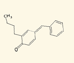 CCCCC1=CC(=Cc2ccccc2)C=CC1=O